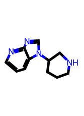 c1cnc2ncn(C3CCCNC3)c2c1